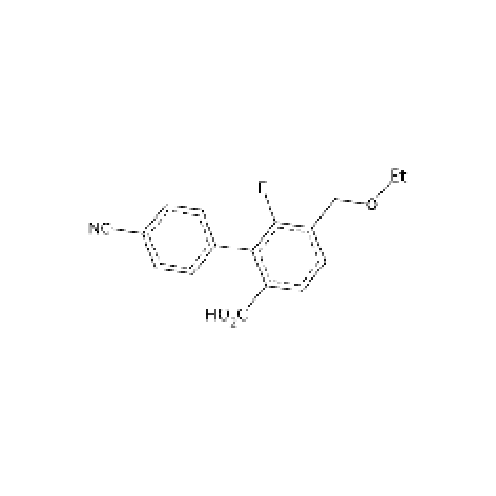 CCOCc1ccc(C(=O)O)c(-c2ccc(C#N)cc2)c1F